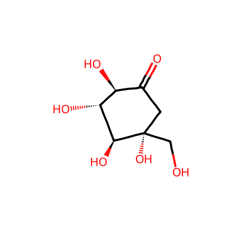 O=C1C[C@@](O)(CO)[C@@H](O)[C@H](O)[C@H]1O